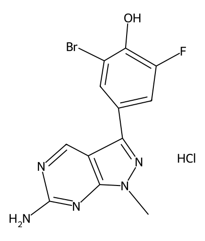 Cl.Cn1nc(-c2cc(F)c(O)c(Br)c2)c2cnc(N)nc21